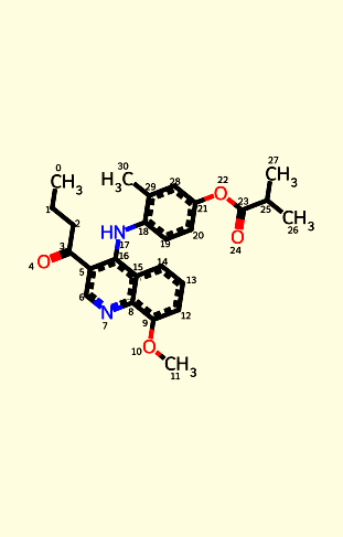 CCCC(=O)c1cnc2c(OC)cccc2c1Nc1ccc(OC(=O)C(C)C)cc1C